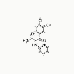 CCC(N)C(Nc1ccccn1)C(CC)c1ccc(Cl)c(Cl)c1